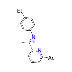 CCc1ccc(/N=C(\C)c2cccc(C(C)=O)n2)cc1